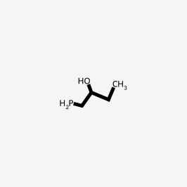 CCC(O)CP